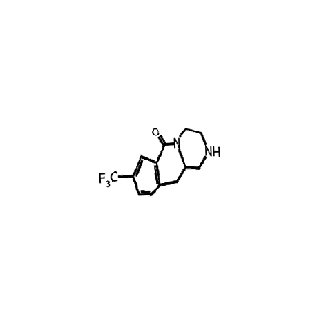 O=C1c2cc(C(F)(F)F)ccc2CC2CNCCN12